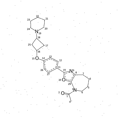 CC(=O)N1CCCCc2nc(-c3ccc(OC4CC(N5CCCCC5)C4)cc3)oc21